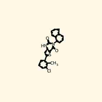 Cc1c(Cl)cccc1-c1cc2[nH]c(=O)n(-c3cccc4ccccc34)c(=O)c2s1